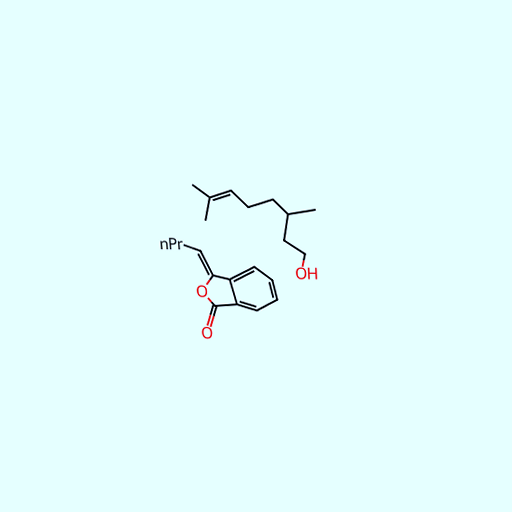 CC(C)=CCCC(C)CCO.CCCC=C1OC(=O)c2ccccc21